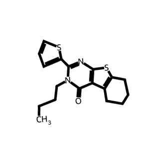 CCCCn1c(-c2cccs2)nc2sc3c(c2c1=O)CCCC3